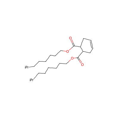 CC(C)CCCCCCOC(=O)C1CC=CCC1C(=O)OCCCCCCC(C)C